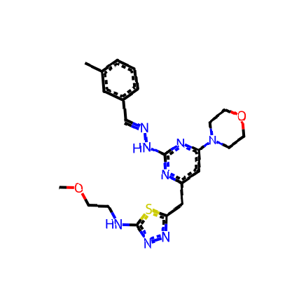 COCCNc1nnc(Cc2cc(N3CCOCC3)nc(N/N=C/c3cccc(C)c3)n2)s1